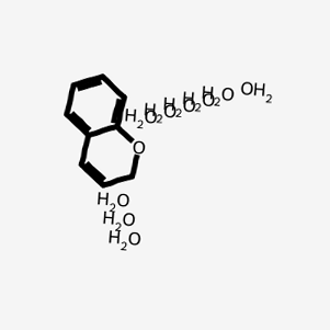 C1=Cc2ccccc2OC1.O.O.O.O.O.O.O.O.O